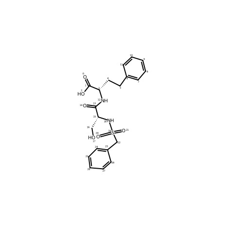 O=C(O)[C@H](CCc1ccccc1)NC(=O)[C@@H](CO)NS(=O)(=O)Cc1ccccc1